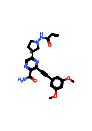 C=CC(=O)NN1CC[C@H](c2cnc(C(N)=O)c(C#Cc3cc(OC)cc(OC)c3)n2)C1